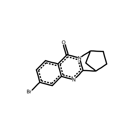 O=c1c2ccc(Br)cc2nc2n1C1CCC2C1